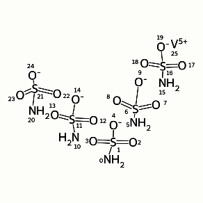 NS(=O)(=O)[O-].NS(=O)(=O)[O-].NS(=O)(=O)[O-].NS(=O)(=O)[O-].NS(=O)(=O)[O-].[V+5]